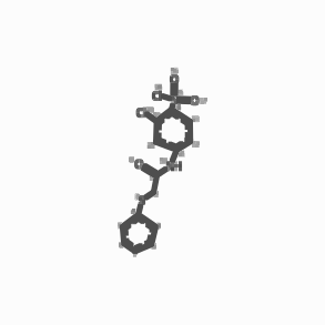 O=C(CSc1ccccc1)Nc1ccc(S(=O)(=O)Cl)c(Cl)c1